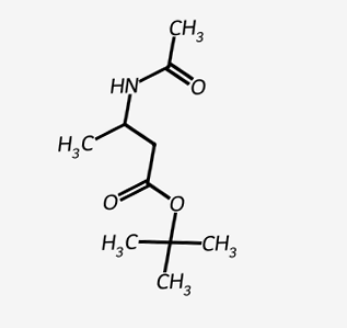 CC(=O)NC(C)CC(=O)OC(C)(C)C